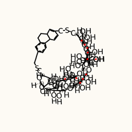 OC[C@H]1O[C@@H]2O[C@H]3C(O)C(O)[C@@H]4O[C@@H]3CSCC3=CC5CCc6cc(ccc6C5C=C3)CSC[C@H]3O[C@H](O[C@H]5C(O)C(O)[C@H](O[C@@H]5CO)O[C@H]5C(O)C(O)[C@H](O[C@@H]5CO)O[C@H]1C(O)C2O)C(O)C(O)[C@@H]3O[C@@H]1O[C@H](CO)[C@@H](O[C@H]2O[C@H](CO)[C@@H](O4)C(O)C2O)C(O)C1O